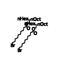 CCCCCCCCC(CCCCCC)COC(=O)CCCCCCCCCBr.CCCCCCCCC(CCCCCC)COC(=O)CCCCCCCCCBr